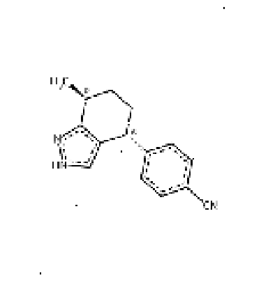 C[C@H]1CC[C@H](c2ccc(C#N)cc2)c2c[nH]nc21